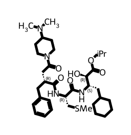 CSC[C@H](NC(=O)[C@@H](CC(=O)N1CCC(N(C)C)CC1)Cc1ccccc1)C(=O)N[C@@H](CC1CCCCC1)[C@@H](O)C(=O)OC(C)C